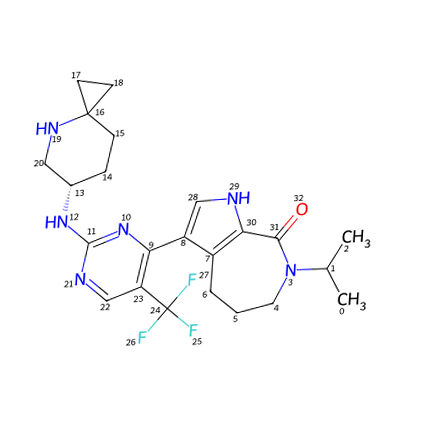 CC(C)N1CCCc2c(-c3nc(N[C@H]4CCC5(CC5)NC4)ncc3C(F)(F)F)c[nH]c2C1=O